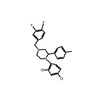 Cc1ccc(C2CN(Cc3ccc(F)c(F)c3)CCN2c2ccc(Cl)cc2Cl)cc1